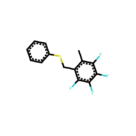 Cc1c(F)c(F)c(F)c(F)c1CSc1ccccc1